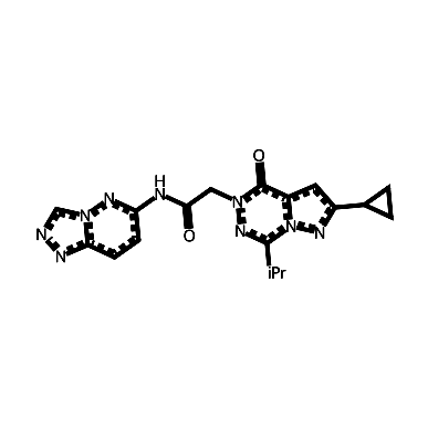 CC(C)c1nn(CC(=O)Nc2ccc3nncn3n2)c(=O)c2cc(C3CC3)nn12